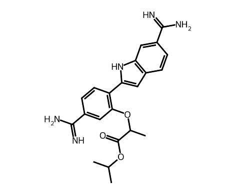 CC(C)OC(=O)C(C)Oc1cc(C(=N)N)ccc1-c1cc2ccc(C(=N)N)cc2[nH]1